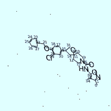 Cc1noc(NC(=O)N2CCC3(CC2)CC(c2ccc(OCc4ccccc4)c(Cl)c2)CO3)c1C